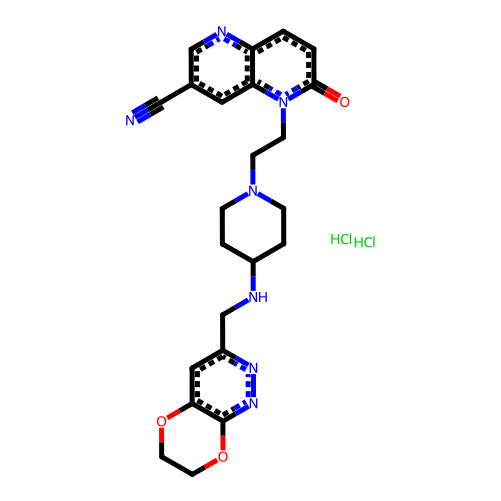 Cl.Cl.N#Cc1cnc2ccc(=O)n(CCN3CCC(NCc4cc5c(nn4)OCCO5)CC3)c2c1